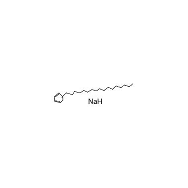 CCCCCCCCCCCCCCCCCc1ccccc1.[NaH]